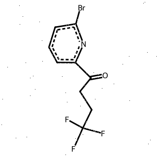 O=C(CCC(F)(F)F)c1cccc(Br)n1